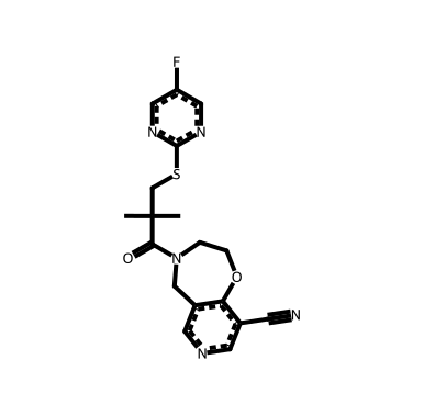 CC(C)(CSc1ncc(F)cn1)C(=O)N1CCOc2c(C#N)cncc2C1